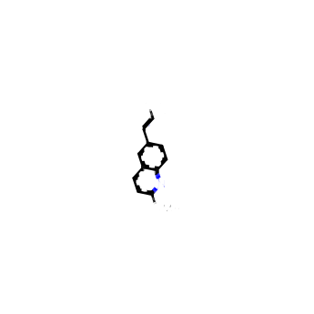 CCOC(=O)/C=C/c1ccc2nc(OC)ccc2c1